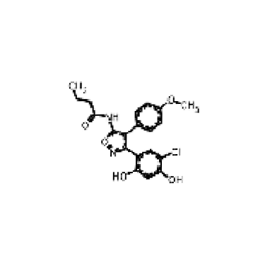 CCCC(=O)Nc1onc(-c2cc(Cl)c(O)cc2O)c1-c1ccc(OC)cc1